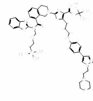 CC(C)(C)OC(=O)c1nc(N2CCc3cccc(C(=O)N(COCC[Si](C)(C)C)c4nc5ccccc5s4)c3C2)sc1CCCOc1ccc(-c2cnn(CCN3CCOCC3)c2)cc1